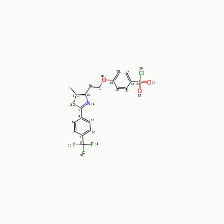 Cc1sc(-c2ccc(C(F)(F)F)cc2)nc1CCOc1ccc(S(=O)(=O)Cl)cc1